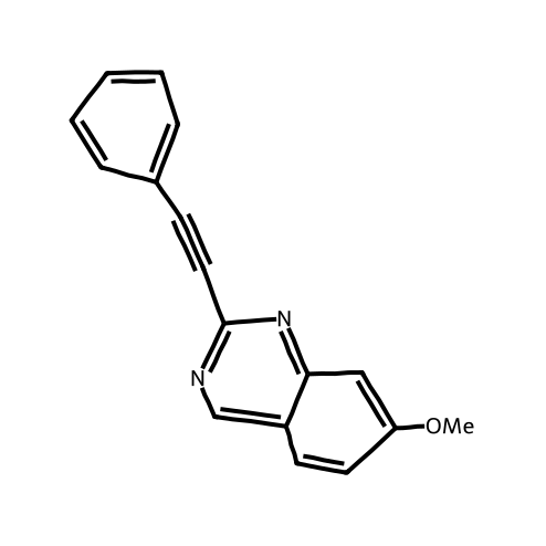 COc1ccc2cnc(C#Cc3ccccc3)nc2c1